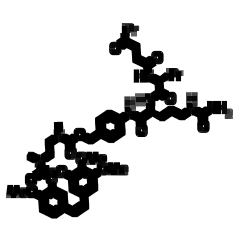 COc1ccc(/C=C\c2cc(OC)c(OC)c(OC)c2)cc1OC(=O)N(C)CCN(C)C(=O)OCc1ccc(NC(=O)[C@H](CCCNC(N)=O)NC(=O)[C@@H](NC(=O)CCC(=O)C(C)C)C(C)C)cc1